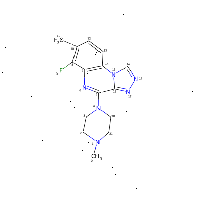 CN1CCN(c2nc3c(F)c(C(F)(F)F)ccc3n3cnnc23)CC1